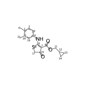 Cc1ccc(NC2=C(C(=O)OCC3CC3)C(=O)CS2)cc1C